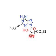 CCCCC#Cc1nc(N)c2ncn([C@@H]3O[C@@](CO)(C(=O)OCC)C(O)C3O)c2n1